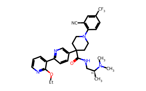 CCOc1ncccc1-c1ccc(C2(C(=O)NC[C@H](C)N(C)C)CCN(c3ccc(C(F)(F)F)cc3C#N)CC2)cn1